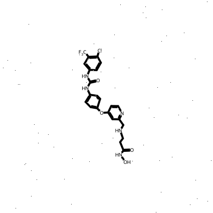 O=C(CCNCc1cc(Oc2ccc(NC(=O)Nc3ccc(Cl)c(C(F)(F)F)c3)cc2)ccn1)NO